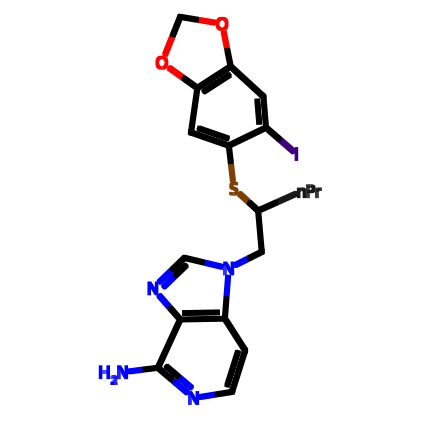 CCCC(Cn1cnc2c(N)nccc21)Sc1cc2c(cc1I)OCO2